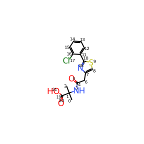 CC(C)(NC(=O)Cc1csc(-c2ccccc2Cl)n1)C(=O)O